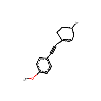 CCOc1ccc(C#CC2=CCC(CC)CC2)cc1